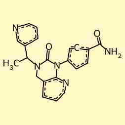 CC(c1cccnc1)N1Cc2cccnc2N(c2ccc(C(N)=O)cc2)C1=O